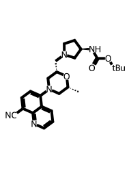 C[C@@H]1CN(c2ccc(C#N)c3ncccc23)C[C@H](CN2CC[C@@H](NC(=O)OC(C)(C)C)C2)O1